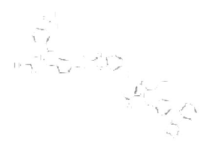 CCCc1nc(CSc2ccc3nc(C(C)Oc4ccc(CN(CC(=O)O)C(=O)c5cccc(C(F)(F)F)c5)cc4)[nH]c3c2)c(C(=O)OCC)n1Cc1ccc(-c2ccccc2-c2nnn[nH]2)cc1